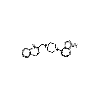 c1ccc2nc(CN3CCN(c4cccc5[nH]ccc45)CC3)ccc2c1